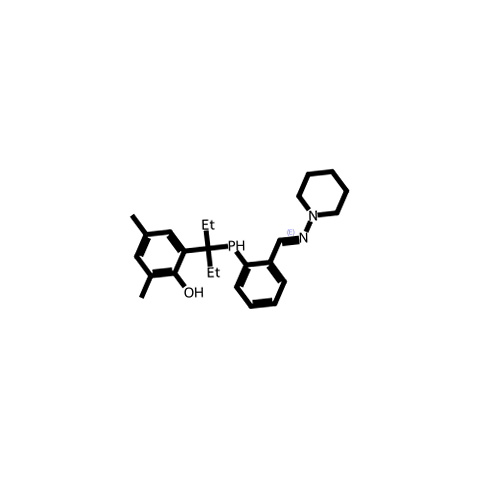 CCC(CC)(Pc1ccccc1/C=N/N1CCCCC1)c1cc(C)cc(C)c1O